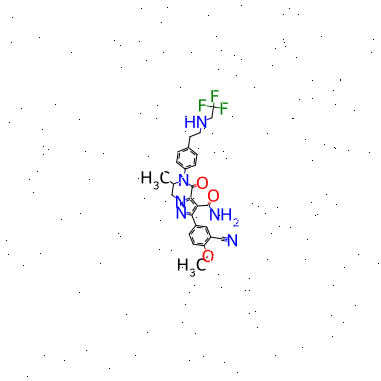 COc1ccc(-c2nn3c(c2C(N)=O)C(=O)N(c2ccc(CCNCC(F)(F)F)cc2)C(C)C3)cc1C#N